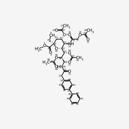 COC(=O)[C@@]1(SC)C[C@H](OC(C)=O)[C@@H](NC(=O)COC(C)=O)[C@H]([C@H](OC(C)=O)[C@@H](CNC(=O)Cc2ccc(-c3ccccc3)cc2)OC(C)=O)O1